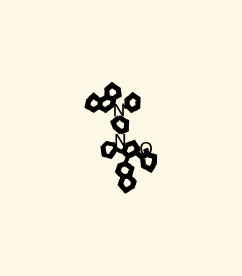 C1=CCC2C(=C1)c1c(cc3oc4ccccc4c3c1-c1ccc3ccccc3c1)N2c1ccc(N(c2ccccc2)c2cc3ccccc3c3ccccc23)cc1